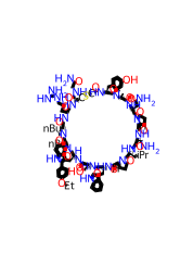 CCCC[C@H]1C(=O)N(C)[C@@H](CCCC)C(=O)NC(CCCNC(=N)N)C(=O)N[C@H](C(=O)NCC(N)=O)CSCC(=O)N[C@@H](Cc2ccc(O)cc2)C(=O)N(C)[C@@H](C)C(=O)N[C@@H](CC(N)=O)C(=O)N2CCC[C@H]2C(=O)N[C@@H](CN)C(=O)N[C@@H](CC(C)C)C(=O)N2CCC[C@H]2C(=O)N[C@@H](Cc2c[nH]c3ccccc23)C(=O)N[C@@H](CO)C(=O)N[C@@H](Cc2c(-c3ccc(OCC)cc3)[nH]c3ccccc23)C(=O)N1C